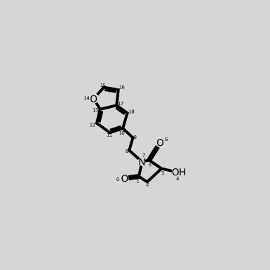 O=C1CC(O)C(=O)N1CCc1ccc2occc2c1